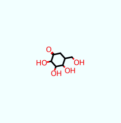 O=C1CC(CO)C(O)C(O)C1O